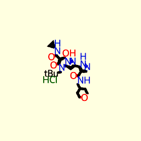 CC(C)(C)Cn1c(=O)c(C(=O)NC2CC2)c(O)n2nc(-c3[nH]ncc3C(=O)NCC3CCOCC3)cc12.Cl